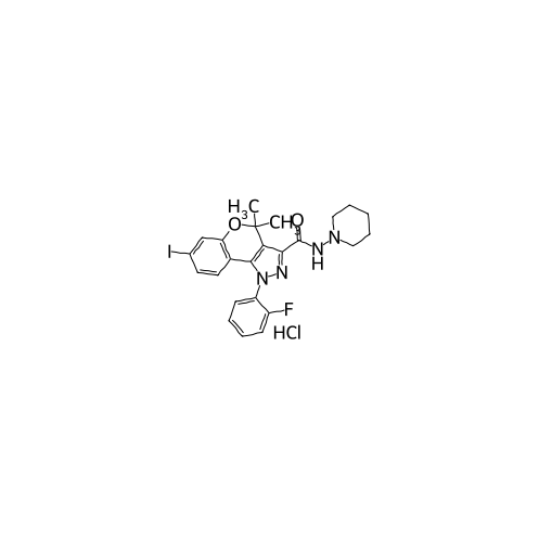 CC1(C)Oc2cc(I)ccc2-c2c1c(C(=O)NN1CCCCC1)nn2-c1ccccc1F.Cl